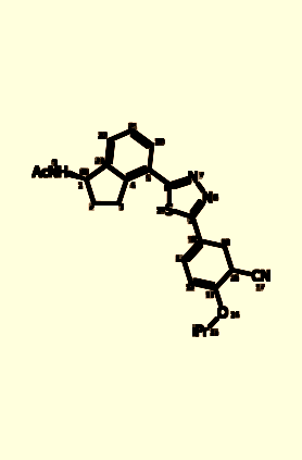 CC(=O)N[C@@H]1CCc2c(-c3nnc(C4=CC=C(OC(C)C)C(C#N)C4)s3)cccc21